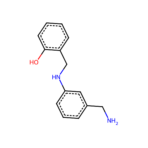 NCc1cccc(NCc2ccccc2O)c1